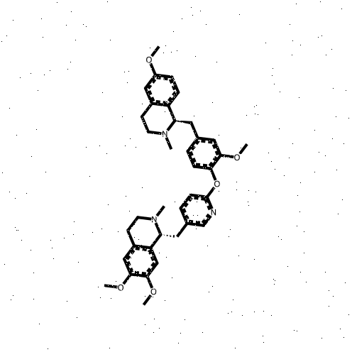 COc1ccc2c(c1)CCN(C)[C@@H]2Cc1ccc(Oc2ccc(C[C@@H]3c4cc(OC)c(OC)cc4CCN3C)cn2)c(OC)c1